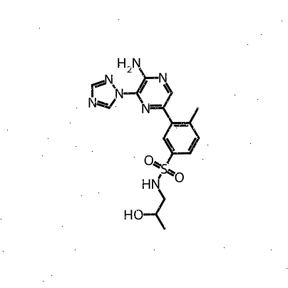 Cc1ccc(S(=O)(=O)NCC(C)O)cc1-c1cnc(N)c(-n2cncn2)n1